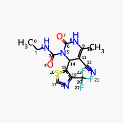 CCNC(=O)N1C(=O)NC(C)=C(C#N)C1c1scnc1C(F)(F)F